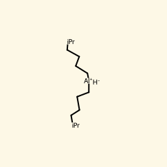 CC(C)CCC[CH2][Al+][CH2]CCCC(C)C.[H-]